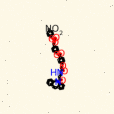 O=C(COc1ccc(C(=O)Oc2ccc(COC(=O)Oc3ccc([N+](=O)[O-])cc3)cc2)cc1)NCCC(=O)N1Cc2ccccc2C#Cc2ccccc21